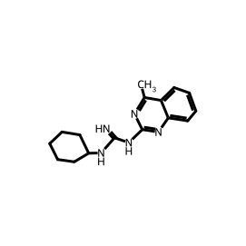 Cc1nc(NC(=N)NC2CCCCC2)nc2ccccc12